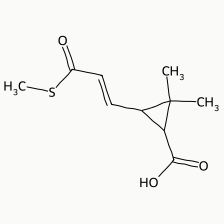 CSC(=O)/C=C/C1C(C(=O)O)C1(C)C